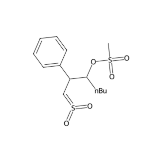 CCCCC(OS(C)(=O)=O)C(C=S(=O)=O)c1ccccc1